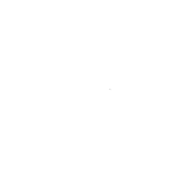 CCCCCC(C(=O)OCC)=C(C)C(=O)OCC